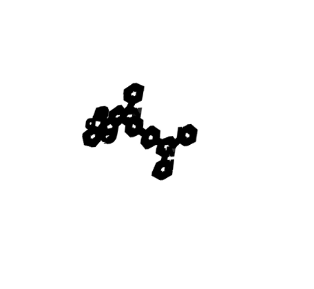 c1ccc(-c2nc3cc(-c4ccc(-c5cc(-c6ccccn6)nc(-c6ccccn6)c5)cc4)ccc3c3c4c(ccc23)C2(c3ccccc3Oc3ccccc32)c2ccccc2-4)cc1